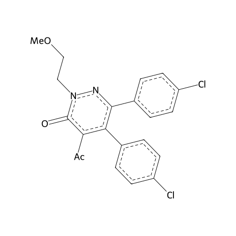 COCCn1nc(-c2ccc(Cl)cc2)c(-c2ccc(Cl)cc2)c(C(C)=O)c1=O